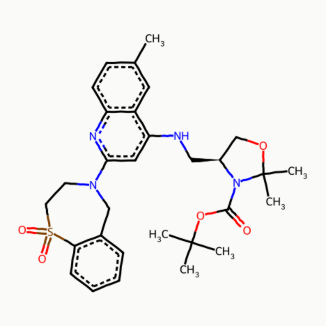 Cc1ccc2nc(N3CCS(=O)(=O)c4ccccc4C3)cc(NC[C@H]3COC(C)(C)N3C(=O)OC(C)(C)C)c2c1